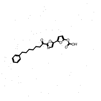 O=C(O)Oc1ccc(-c2cnc(C(=O)CCCCCCc3ccccc3)o2)o1